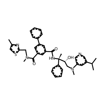 Cc1csc(CN(C)C(=O)c2cc(C(=O)N[C@@](C)(c3ccccc3)[C@H](O)CN(C)c3cncc(C(C)C)c3)cc(-c3ccccc3)c2)n1